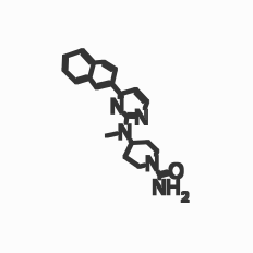 CN(c1nccc(-c2ccc3ccccc3c2)n1)C1CCN(C(N)=O)CC1